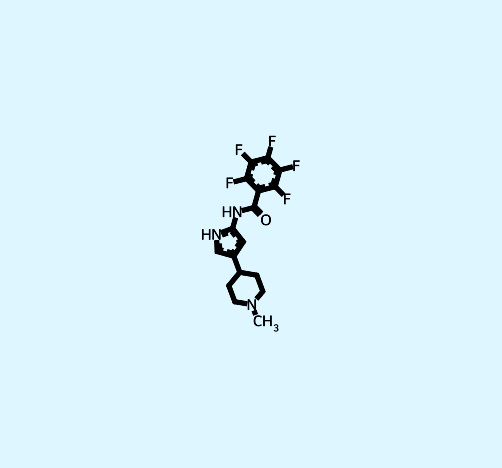 CN1CCC(c2c[nH]c(NC(=O)c3c(F)c(F)c(F)c(F)c3F)c2)CC1